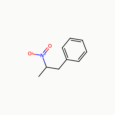 CC(Cc1ccccc1)[N+](=O)[O-]